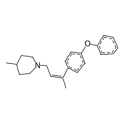 CC(=CCN1CCC(C)CC1)c1ccc(Oc2ccccc2)cc1